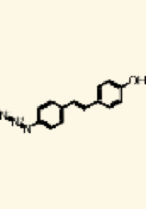 [N-]=[N+]=Nc1ccc(/C=C/c2ccc(O)cc2)cc1